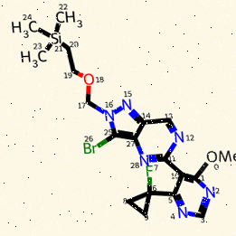 COc1ncnc(C2(F)CC2)c1-c1ncc2nn(COCC[Si](C)(C)C)c(Br)c2n1